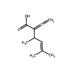 C=C=C(C(=O)O)C(C)C=C(C)C